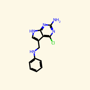 Nc1nc(Cl)c2c(CNc3ccccc3)c[nH]c2n1